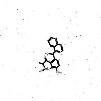 CCCNC(C)C(=O)c1c(C(N)c2nccc3ccccc23)ccc(OC)c1OC